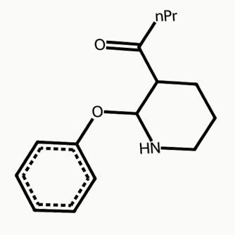 [CH2]CCC(=O)C1CCCNC1Oc1ccccc1